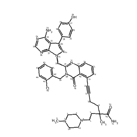 CN1CCN(CCC(C)(CCC#Cc2cccc3nc(Cn4nc(-c5ccc(O)cc5)c5c(N)ncnc54)n(Cc4ccccc4Cl)c(=O)c23)C(N)=O)CC1